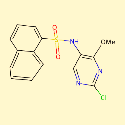 COc1nc(Cl)ncc1NS(=O)(=O)c1cccc2ccccc12